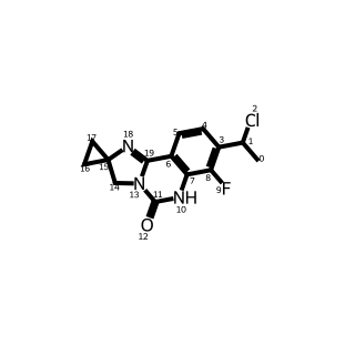 CC(Cl)c1ccc2c(c1F)NC(=O)N1CC3(CC3)N=C21